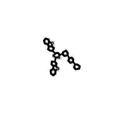 c1ccc(-c2ccc(-c3cccc(-c4cc(-c5ccc6c(c5)oc5ccccc56)nc(-c5ccc6c(c5)oc5ccccc56)n4)c3)cc2)cc1